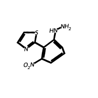 NNc1cccc([N+](=O)[O-])c1-c1nccs1